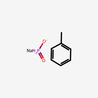 Cc1ccccc1.O=[PH2][O-].[Na+]